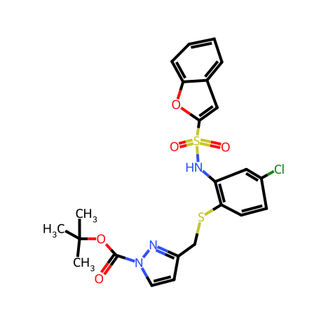 CC(C)(C)OC(=O)n1ccc(CSc2ccc(Cl)cc2NS(=O)(=O)c2cc3ccccc3o2)n1